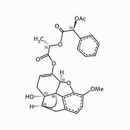 COc1ccc2c3c1O[C@@H]1C(OC(=O)[C@H](C)OC(=O)[C@@H](OC(C)=O)c4ccccc4)=CC[C@]4(O)[C@@H](CCC[C@@]314)C2